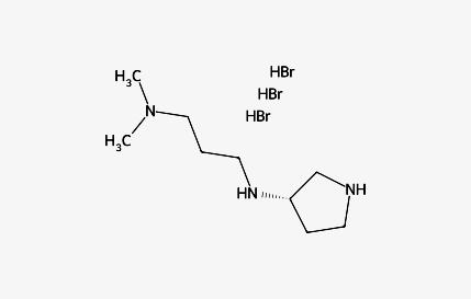 Br.Br.Br.CN(C)CCCN[C@H]1CCNC1